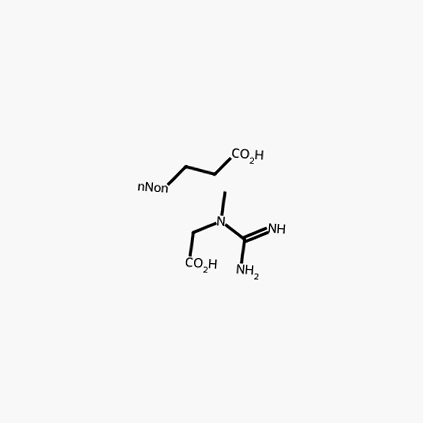 CCCCCCCCCCCC(=O)O.CN(CC(=O)O)C(=N)N